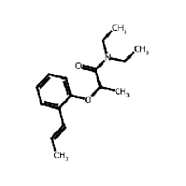 CC=Cc1ccccc1OC(C)C(=O)N(CC)CC